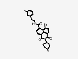 CCc1ccc2c3c(ccc(C(=O)NCCc4cccc(C)c4)c13)C(=O)N(C1CCC(C)CC1)C2=O